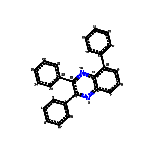 c1ccc(-c2nc3cccc(-c4ccccc4)c3nc2-c2ccccc2)cc1